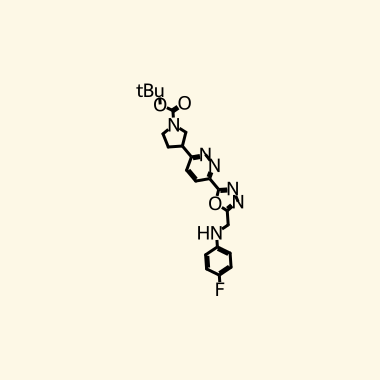 CC(C)(C)OC(=O)N1CCC(c2ccc(-c3nnc(CNc4ccc(F)cc4)o3)nn2)C1